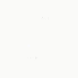 O=C(O)/C=C/CCC[AsH2]